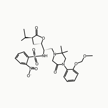 COCOc1ccccc1N1CC(C)(C)N(C[C@H](NS(=O)(=O)c2ccccc2[N+](=O)[O-])[C@@H]2C[C@@H](C(C)C)C(=O)O2)CC1=O